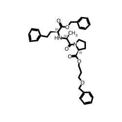 C[C@H](N[C@@H](CCc1ccccc1)C(=O)OCc1ccccc1)C(=O)N1CCC[C@H]1C(=O)OCCCOCc1ccccc1